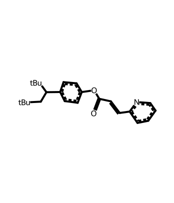 CC(C)(C)CC(c1ccc(OC(=O)/C=C/c2ccccn2)cc1)C(C)(C)C